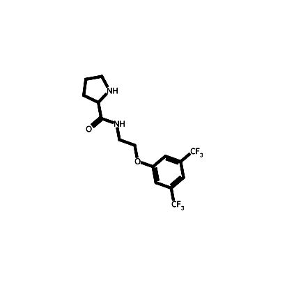 O=C(NCCOc1cc(C(F)(F)F)cc(C(F)(F)F)c1)C1CCCN1